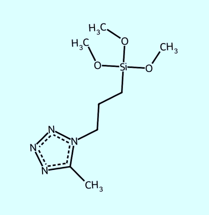 CO[Si](CCCn1nnnc1C)(OC)OC